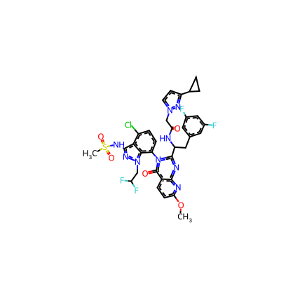 COc1ccc2c(=O)n(-c3ccc(Cl)c4c(NS(C)(=O)=O)nn(CC(F)F)c34)c(C(Cc3cc(F)cc(F)c3)NC(=O)Cn3ccc(C4CC4)n3)nc2n1